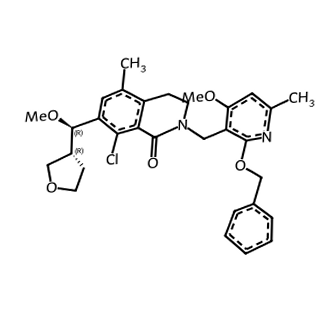 COc1cc(C)nc(OCc2ccccc2)c1CN1CCc2c(C)cc([C@H](OC)[C@@H]3CCOC3)c(Cl)c2C1=O